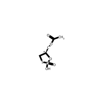 CC(=O)OC[C@@H]1CSP(=O)(O)O1